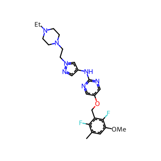 CCN1CCN(CCn2cc(Nc3ncc(OCc4c(F)c(C)cc(OC)c4F)cn3)cn2)CC1